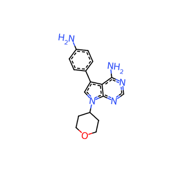 Nc1ccc(-c2cn(C3CCOCC3)c3ncnc(N)c23)cc1